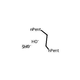 [CH2]CCCCCCCCCCC.[OH-].[OH-].[Sn+2]